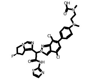 CN(CCN(C)c1ccc(-c2cc(Cl)c3cn(C(C(=O)Nc4nccs4)c4ncn5c4C[C@@H](F)C5)nc3c2Cl)cc1)C(=O)O